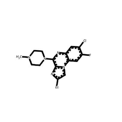 CCc1cn2c(n1)c(N1CCN(C)CC1)nc1cc(Cl)c(F)cc12